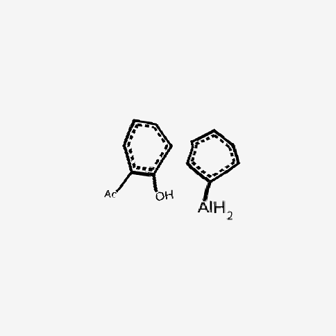 CC(=O)c1ccccc1O.[AlH2][c]1ccccc1